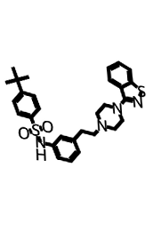 CC(C)(C)c1ccc(S(=O)(=O)Nc2cccc(CCN3CCN(c4nsc5ccccc45)CC3)c2)cc1